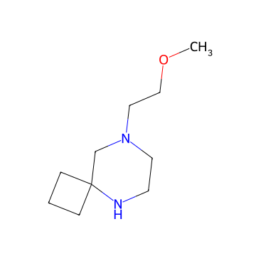 COCCN1CCNC2(CCC2)C1